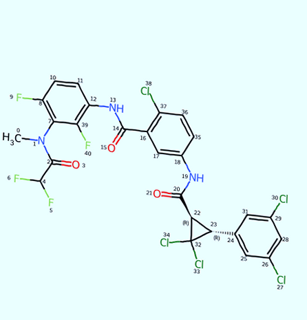 CN(C(=O)C(F)F)c1c(F)ccc(NC(=O)c2cc(NC(=O)[C@H]3[C@H](c4cc(Cl)cc(Cl)c4)C3(Cl)Cl)ccc2Cl)c1F